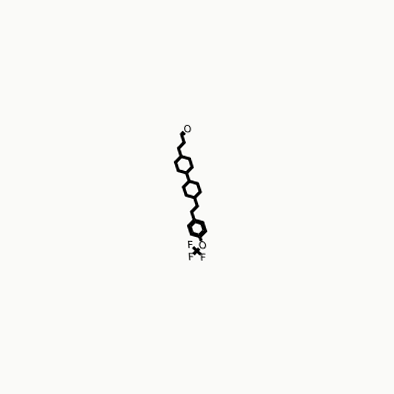 O=CCCC1CCC(C2CCC(CCc3ccc(OC(F)(F)F)cc3)CC2)CC1